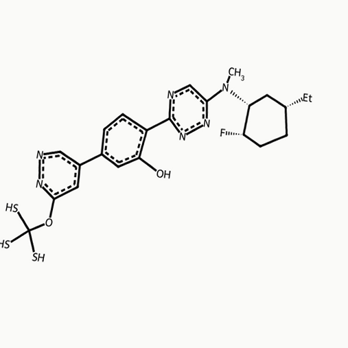 CC[C@@H]1CC[C@H](F)[C@H](N(C)c2cnc(-c3ccc(-c4cnnc(OC(S)(S)S)c4)cc3O)nn2)C1